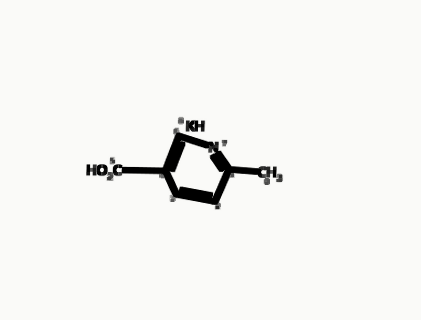 Cc1ccc(C(=O)O)cn1.[KH]